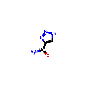 N[13C](=O)c1c[nH]nn1